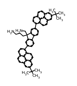 CC(C)(C)c1cc2ccc3ccc(-c4ccc5c(c4)C(CN)(CCCN)c4cc(-c6ccc7ccc8cc(C(C)(C)C)cc9ccc6c7c89)ccc4-5)c4ccc(c1)c2c34